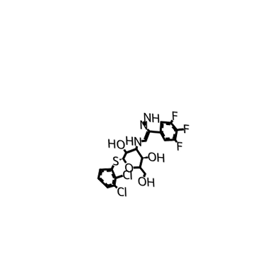 N=N/C(=C\NC1C(O)[C@@H](Sc2cccc(Cl)c2Cl)OC(CO)[C@@H]1O)c1cc(F)c(F)c(F)c1